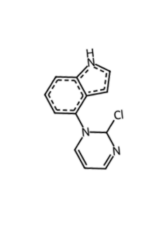 ClC1N=CC=CN1c1cccc2[nH]ccc12